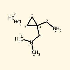 CN(C)CC1(CN)CC1.Cl.Cl